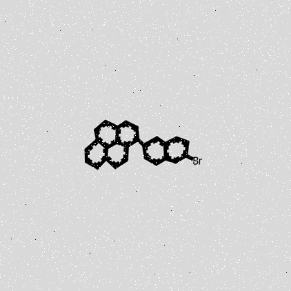 Brc1ccc2cc(-c3ccc4ccc5cccc6ccc3c4c56)ccc2c1